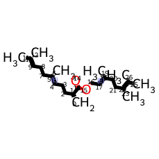 C=C(CC/C=C(\C)CCC=C(C)C)C(=O)OC/C=C(\C)CCC(C)=C(C)C